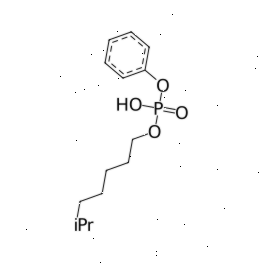 CC(C)CCCCCOP(=O)(O)Oc1ccccc1